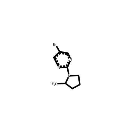 FC(F)(F)C1CCCN1c1ncc(Br)cn1